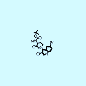 CC(C)(C)OC(=O)NC1CCN(c2c(Cl)cnc3ccc(Br)cc23)CC1=O